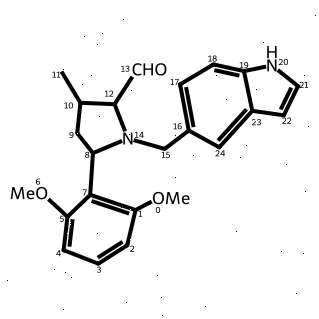 COc1cccc(OC)c1C1CC(C)C(C=O)N1Cc1ccc2[nH]ccc2c1